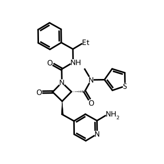 CCC(NC(=O)N1C(=O)[C@H](Cc2ccnc(N)c2)[C@H]1C(=O)N(C)c1ccsc1)c1ccccc1